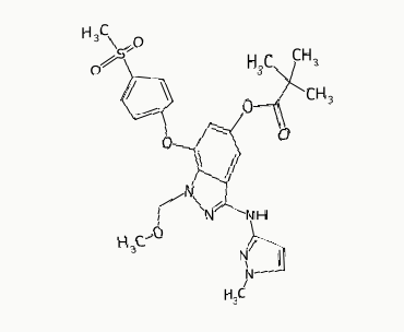 COCn1nc(Nc2ccn(C)n2)c2cc(OC(=O)C(C)(C)C)cc(Oc3ccc(S(C)(=O)=O)cc3)c21